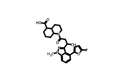 CC(CC(=O)N1CCCC2C(C(=O)O)CCCC21)c1nn(C)c2cccc(-c3ccc(F)o3)c12